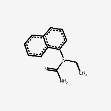 CCN(C(N)=S)c1cccc2ccccc12